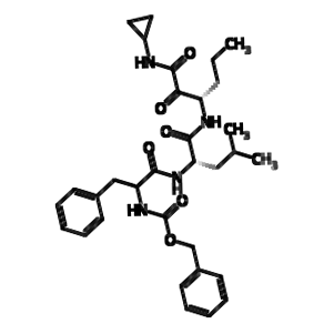 CCC[C@H](NC(=O)[C@H](CC(C)C)NC(=O)C(Cc1ccccc1)NC(=O)OCc1ccccc1)C(=O)C(=O)NC1CC1